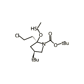 C[SiH](C)O[C@]1(CCCl)C[C@H](C(C)(C)C)CN1C(=O)OC(C)(C)C